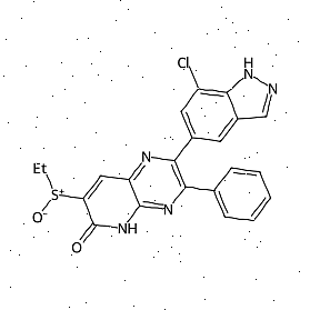 CC[S+]([O-])c1cc2nc(-c3cc(Cl)c4[nH]ncc4c3)c(-c3ccccc3)nc2[nH]c1=O